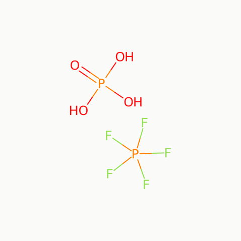 FP(F)(F)(F)F.O=P(O)(O)O